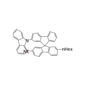 CCCCCCc1ccc2c(c1)C1(c3ccccc3-c3ccc(-n4c5ccccc5c5ccccc54)cc31)c1cc(C#N)ccc1-2